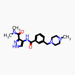 CN1CCN(Cc2cccc(C(=O)Nc3c[nH]nc3C(=O)N(C)C)c2)CC1